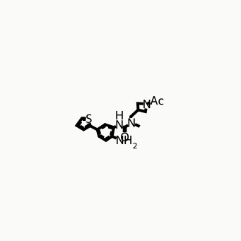 CC(=O)N1CC(CN(C)C(=O)Nc2cc(-c3cccs3)ccc2N)C1